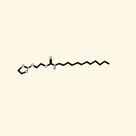 CCCCCCCCCCCCNC(=O)OCCOP1OCCO1